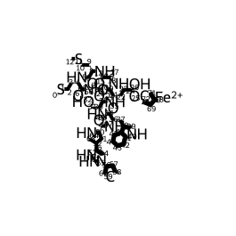 CSCC[C@H](NC(=O)[C@H](CCSC)NC(=O)[C@H](C)NC(=O)[C@H](CCC(=O)O)NC(=O)[C@H](CO)NC(=O)[C@H](Cc1c[nH]c2ccccc12)NC(=O)[C@@H]1CC(C2=CN(c3cc[cH-]c3)NN2)CN1)C(N)=O.[Fe+2].c1cc[cH-]c1